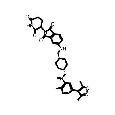 Cc1ccc(-c2c(C)noc2C)cc1N(C)C[C@H]1CC[C@H](CNc2ccc3c(c2)C(=O)N(C2CCC(=O)NC2=O)C3=O)CC1